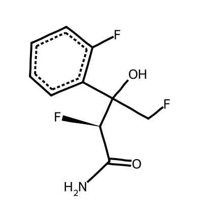 NC(=O)[C@@H](F)C(O)(CF)c1ccccc1F